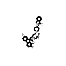 O=C1c2ccccc2CN1C1CCN(CCCCC2(C(=O)NCC(F)(F)F)c3cc(F)ccc3-c3ccc(F)cc32)CC1